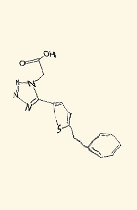 O=C(O)Cn1nnnc1-c1ccc(Cc2ccccc2)s1